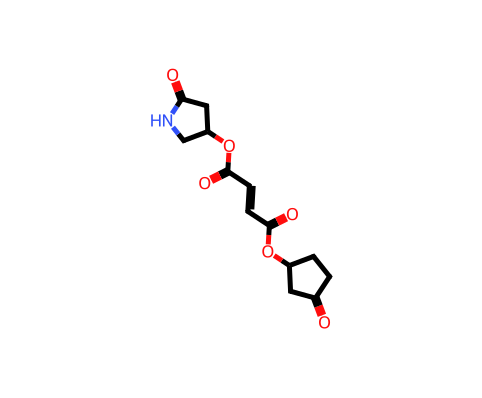 O=C1CCC(OC(=O)/C=C/C(=O)OC2CNC(=O)C2)C1